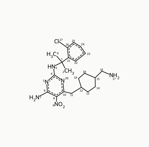 CC(C)(Nc1nc(N)c([N+](=O)[O-])c(CC2CCC(CN)CC2)n1)c1ccccc1Cl